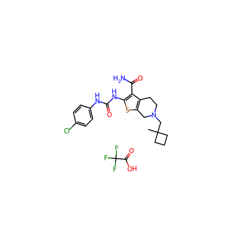 CC1(CN2CCc3c(sc(NC(=O)Nc4ccc(Cl)cc4)c3C(N)=O)C2)CCC1.O=C(O)C(F)(F)F